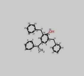 CC(c1ccccc1)c1cc(Cc2ccccc2)c(O)c(Cc2ccccc2)c1